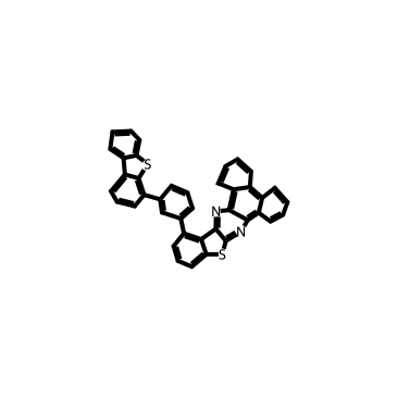 c1cc(-c2cccc3c2sc2ccccc23)cc(-c2cccc3sc4nc5c6ccccc6c6ccccc6c5nc4c23)c1